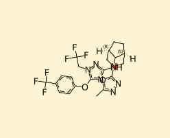 Cc1nnc(N2C[C@H]3CC[C@@H](C2)C3Nc2nc(Oc3ccc(C(F)(F)F)cc3)n(CC(F)(F)F)n2)o1